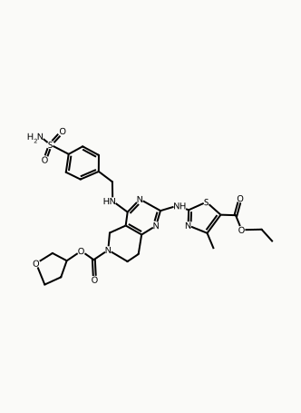 CCOC(=O)c1sc(Nc2nc3c(c(NCc4ccc(S(N)(=O)=O)cc4)n2)CN(C(=O)OC2CCOC2)CC3)nc1C